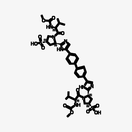 COC(=O)N[C@H](C(=O)N1C[C@@H](S(=O)(=O)O)C[C@H]1c1ncc(-c2ccc(-c3ccc(-c4cnc([C@@H]5C[C@H](S(=O)(=O)O)CN5C(=O)[C@@H](NC(=O)OC)C(C)C)[nH]4)cc3)cc2)[nH]1)C(C)C